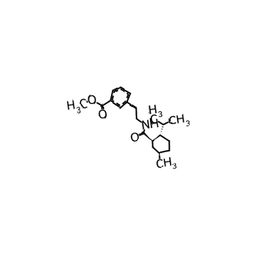 COC(=O)c1cccc(CCNC(=O)[C@@H]2C[C@H](C)CC[C@H]2C(C)C)c1